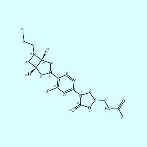 CC(=O)NC[C@H]1CN(c2ccc(N3C[C@@H]4CN(CCF)[C@@H]4C3)c(F)c2)C(=O)O1